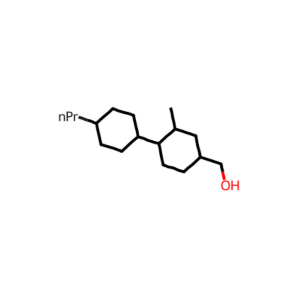 CCCC1CCC(C2CCC(CO)CC2C)CC1